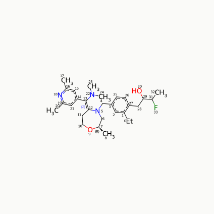 CCc1cc(CN2C[C@@H](C)OCC/C2=C(\c2cc(C)nc(C)c2)N(C)C)ccc1CC(O)C(C)F